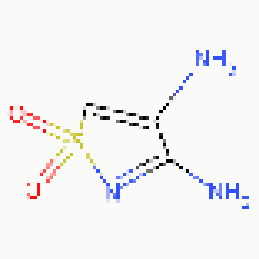 NC1=CS(=O)(=O)N=C1N